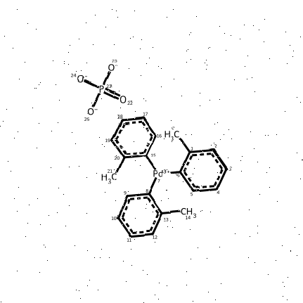 Cc1cccc[c]1[Pd+3]([c]1ccccc1C)[c]1ccccc1C.O=P([O-])([O-])[O-]